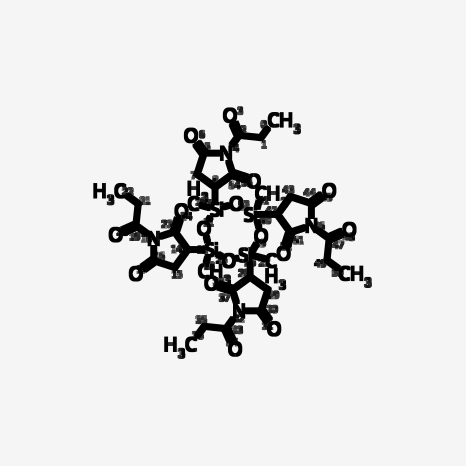 CCC(=O)N1C(=O)CC([Si]2(C)O[Si](C)(C3CC(=O)N(C(=O)CC)C3=O)O[Si](C)(C3CC(=O)N(C(=O)CC)C3=O)O[Si](C)(C3CC(=O)N(C(=O)CC)C3=O)O2)C1=O